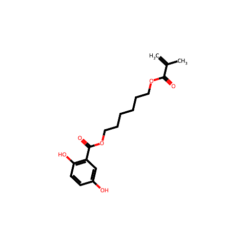 C=C(C)C(=O)OCCCCCCOC(=O)c1cc(O)ccc1O